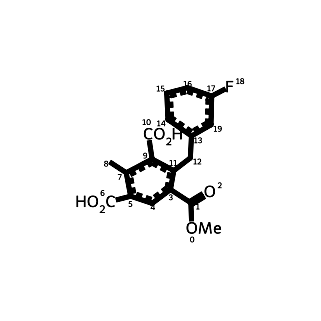 COC(=O)c1cc(C(=O)O)c(C)c(C(=O)O)c1Cc1cccc(F)c1